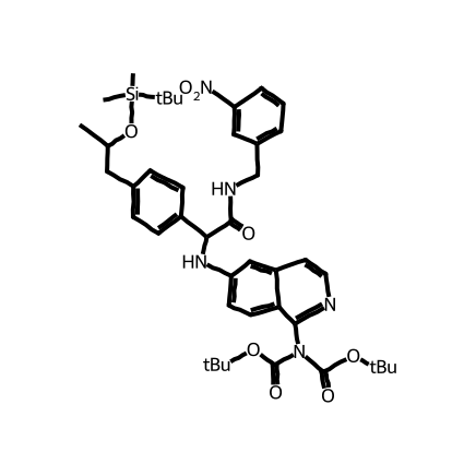 CC(Cc1ccc(C(Nc2ccc3c(N(C(=O)OC(C)(C)C)C(=O)OC(C)(C)C)nccc3c2)C(=O)NCc2cccc([N+](=O)[O-])c2)cc1)O[Si](C)(C)C(C)(C)C